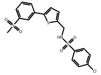 CS(=O)(=O)c1cccc(-c2ccc(CNS(=O)(=O)c3ccc(Cl)cc3)s2)c1